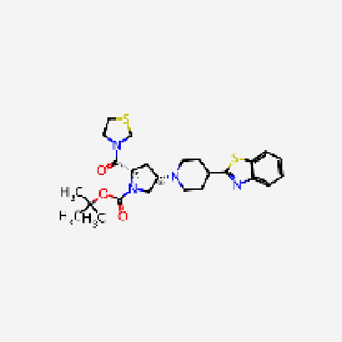 CC(C)(C)OC(=O)N1C[C@@H](N2CCC(c3nc4ccccc4s3)CC2)C[C@H]1C(=O)N1CCSC1